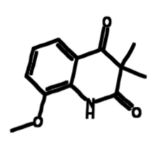 COc1cccc2c1NC(=O)C(C)(C)C2=O